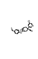 CN1C2CC(Oc3ccc(C=S)cc3)C1CC(C#N)(c1cncc(Cl)c1)C2